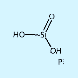 O=[Si](O)O.[P]